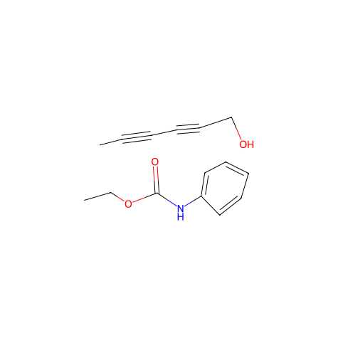 CC#CC#CCO.CCOC(=O)Nc1ccccc1